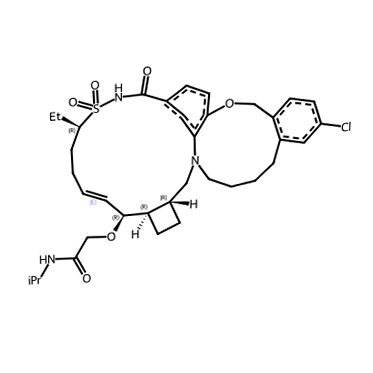 CC[C@@H]1CC/C=C/[C@H](OCC(=O)NC(C)C)[C@@H]2CC[C@H]2CN2CCCCc3cc(Cl)ccc3COc3ccc(cc32)C(=O)NS1(=O)=O